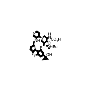 CC1CN(c2ccncc2NCc2ccc(F)c(-c3c(F)cc(C4(O)CC4)cc3F)n2)CC(NC(=O)O)C1O[Si](C)(C)C(C)(C)C